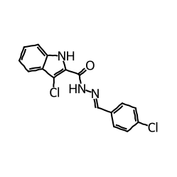 O=C(NN=Cc1ccc(Cl)cc1)c1[nH]c2ccccc2c1Cl